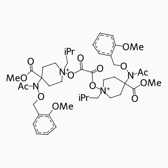 COC(=O)C1(N(OCc2ccccc2OC)C(C)=O)CC[N+](CC(C)C)(OC(=O)C(=O)O[N+]2(CC(C)C)CCC(C(=O)OC)(N(OCc3ccccc3OC)C(C)=O)CC2)CC1